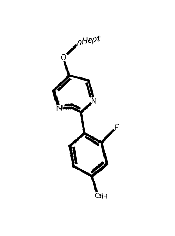 CCCCCCCOc1cnc(-c2ccc(O)cc2F)nc1